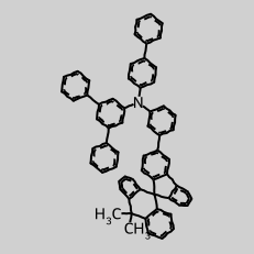 CC1(C)c2ccccc2C2(c3ccccc3-c3cc(-c4cccc(N(c5ccc(-c6ccccc6)cc5)c5cc(-c6ccccc6)cc(-c6ccccc6)c5)c4)ccc32)c2ccccc21